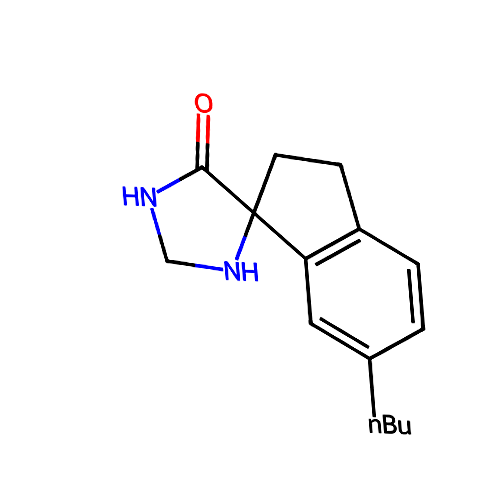 CCCCc1ccc2c(c1)C1(CC2)NCNC1=O